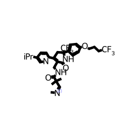 C/N=C\C(C)(C)C(=O)NCC1=C(c2ccc(C(C)C)cn2)C[C@](c2ccc(OCCCC(F)(F)F)cc2)(C(F)(F)F)NC1=O